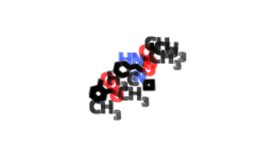 COC(=O)c1cc(C)ccc1COC[C@H]1CC[C@H]([C@H](NC(=O)OC(C)(C)C)C(=O)N(C)C2CCC2)CC1